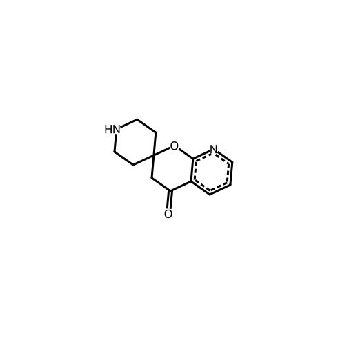 O=C1CC2(CCNCC2)Oc2ncccc21